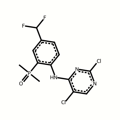 CP(C)(=O)c1cc(C(F)F)ccc1Nc1nc(Cl)ncc1Cl